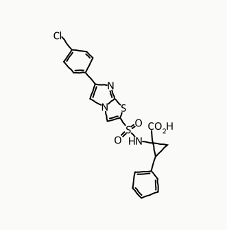 O=C(O)C1(NS(=O)(=O)c2cn3cc(-c4ccc(Cl)cc4)nc3s2)CC1c1ccccc1